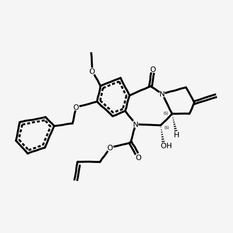 C=CCOC(=O)N1c2cc(OCc3ccccc3)c(OC)cc2C(=O)N2CC(=C)C[C@H]2[C@@H]1O